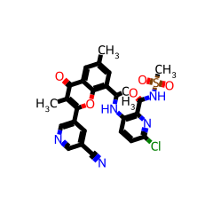 Cc1cc(C(C)Nc2ccc(Cl)nc2C(=O)NS(C)(=O)=O)c2oc(-c3cncc(C#N)c3)c(C)c(=O)c2c1